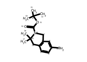 Bc1ccc2c(c1)CN(C(=O)OC(C)(C)C)C(C)(C)C2